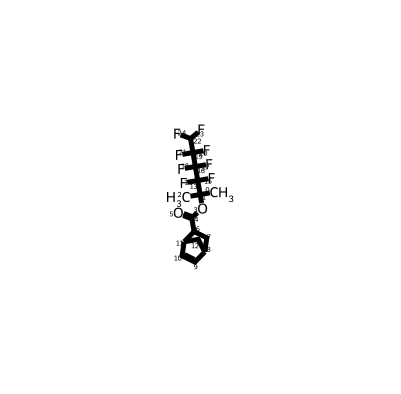 CC(C)(OC(=O)C1CC2C=CC1C2)C(F)(F)C(F)(F)C(F)(F)C(F)F